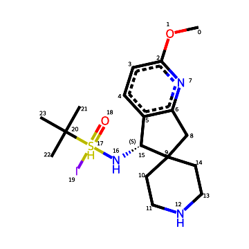 COc1ccc2c(n1)CC1(CCNCC1)[C@@H]2N[SH](=O)(I)C(C)(C)C